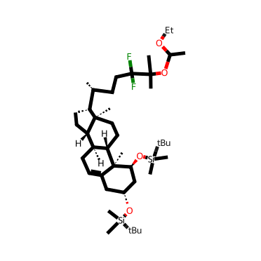 CCOC(C)OC(C)(C)C(F)(F)CC[C@@H](C)[C@H]1CC[C@H]2[C@@H]3CC=C4C[C@@H](O[Si](C)(C)C(C)(C)C)C[C@H](O[Si](C)(C)C(C)(C)C)[C@]4(C)[C@H]3CC[C@]12C